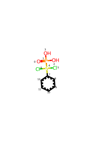 O=P(O)(O)S(Cl)(Cl)c1ccccc1